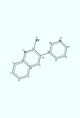 CC(C)c1nc2ccccc2cc1-c1cccnc1